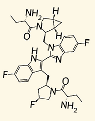 CC[C@H](N)C(=O)N1C[C@@H](F)C[C@H]1Cc1c(-c2nc3cc(F)ccc3n2C[C@@H]2[C@H]3C[C@H]3CN2C(=O)[C@@H](N)CC)[nH]c2cc(F)ccc12